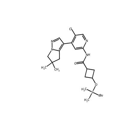 CC1(C)Cc2c(-c3cc(NC(=O)C4CC(O[Si](C)(C)C(C)(C)C)C4)ncc3Cl)cnn2C1